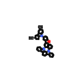 N#Cc1ccc2c(c1)c1cc(C#N)ccc1n2-c1ccc2oc3ccc(-n4c5ccccc5c5ccc6c7ccccc7n(-c7ccccc7)c6c54)cc3c2c1